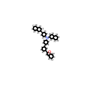 c1cc(-c2ccc(N(c3ccc(-c4ccc5ccccc5c4)cc3)c3ccc4ccccc4c3)cc2)cc(-c2cc3ccccc3o2)c1